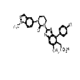 Cc1cc2nc(N3CCCN(c4ccc5c(cnn5C)c4)C3=O)sc2c(-c2ccc(Cl)cc2)c1CC(=O)O